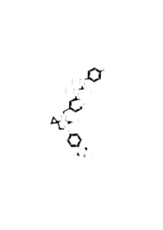 O=C(Nc1ccc(Cl)cc1)Nc1cc(CN2C(=O)N(c3ccc(S(=O)(=O)C(F)(F)F)cc3)C(=O)C23CC3)ccn1